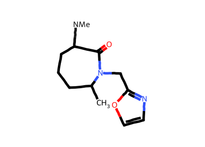 CNC1CCCC(C)N(Cc2ncco2)C1=O